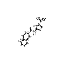 O=C(Nc1nc(C(=O)O)cs1)c1ccc2ccccc2c1